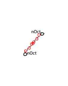 CCCCCCCCc1ccccc1OCCOCCOOOCCOCCOc1ccccc1CCCCCCCC